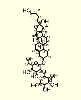 C[C@@H](CO)CCC1(O)OC2C[C@H]3[C@@H]4CC=C5CC(O[C@@H]6OC(CO)[C@@H](O)[C@H](O)C6O[C@@H]6OC(O)[C@H](O)[C@H](O)C6O)CC[C@]5(C)[C@H]4CC[C@]3(C)[C@H]2[C@@H]1C